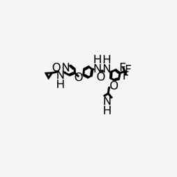 O=C(Nc1ccc(Oc2ccnc(NC(=O)C3CC3)c2)cc1)Nc1cc(OCC2CNC2)cc(C(F)(F)F)c1